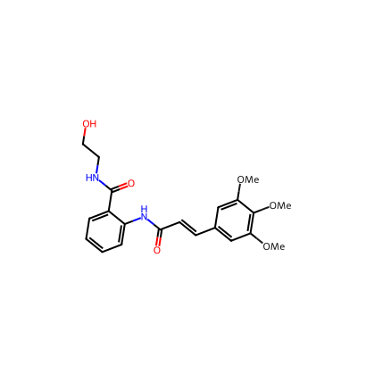 COc1cc(C=CC(=O)Nc2ccccc2C(=O)NCCO)cc(OC)c1OC